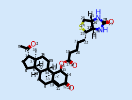 CC(=O)[C@H]1CC[C@H]2[C@@H]3CCC4=CC(=O)CC(OC(=O)CCCC[C@@H]5SC[C@@H]6NC(=O)N[C@@H]65)[C@]4(C)[C@H]3CC[C@]12C